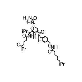 CC(C)CCCCCC(=O)NOCc1ccc(NC(=O)[C@H](CCCNC(N)=O)NC(=O)[C@@H](NC(=O)CCCC(=O)C(C)C)C(C)C)cc1